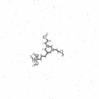 COCCN1CC(CCC[Si](OC)(OC)OC)CN(CCOC)C1